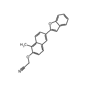 Cc1c(OCC#N)ccc2cc(-c3cc4ccccc4o3)ccc12